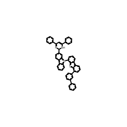 C1=C(c2ccccc2)NC(c2ccc3c4ccccc4n(-c4cccc5c4sc4c(-c6cccc(-c7ccccc7)c6)cccc45)c3c2)N=C1c1ccccc1